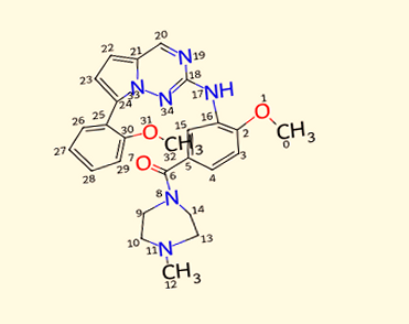 COc1ccc(C(=O)N2CCN(C)CC2)cc1Nc1ncc2ccc(-c3ccccc3OC)n2n1